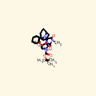 CC(C)N1C(=O)N(C)C(=O)C12CC1CCC(C2)N1C[C@H]1CN(C(=O)OC(C)(C)C)C[C@@H]1c1ccccc1